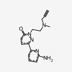 C#CCN(C)CCn1nc(-c2cccc(N)n2)ccc1=O